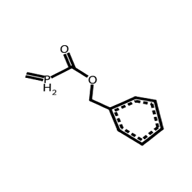 C=[PH2]C(=O)OCc1ccccc1